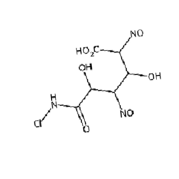 O=NC(C(=O)O)C(O)C(N=O)C(O)C(=O)NCl